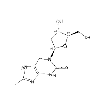 Cc1nc2c([nH]1)CN([C@H]1C[C@H](O)[C@@H](CO)O1)C(=O)N2